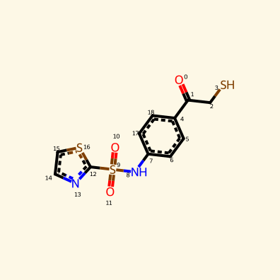 O=C(CS)c1ccc(NS(=O)(=O)c2nccs2)cc1